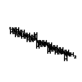 CNNNNNNNNNNNNNNNNNNNNN